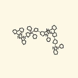 c1ccc(-n2c(-c3ccc(-c4ccc5c6ccccc6c6nc7c8cc(-c9cccc([Si](c%10ccccc%10)(c%10ccccc%10)c%10ccc(-n%11c%12ccccc%12c%12nc%13c%14ccccc%14c%14ccccc%14n%13c%12%11)cc%10)c9)ccc8n(-c8ccccc8)c7n6c5c4)cc3)nc3ccccc32)cc1